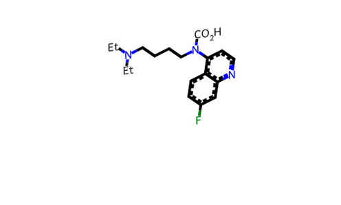 CCN(CC)CCCCN(C(=O)O)c1ccnc2cc(F)ccc12